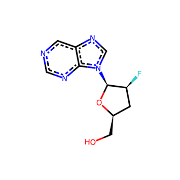 OC[C@@H]1C[C@H](F)[C@H](n2cnc3cncnc32)O1